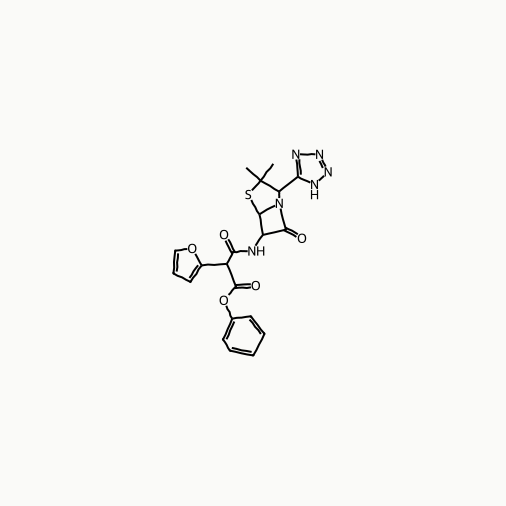 CC1(C)SC2C(NC(=O)C(C(=O)Oc3ccccc3)c3ccco3)C(=O)N2C1c1nnn[nH]1